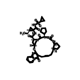 CC[C@@H]1C[C@]1(NC(=O)[C@@H]1C[C@@H]2CN1C(=O)[C@H](C1CCCC1)NC(=O)O[C@@H]1CCC[C@H]1CCC=CCc1c(nc3ccccn3c1=O)O2)C(=O)NS(=O)(=O)C1CC1